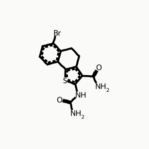 NC(=O)Nc1sc2c(c1C(N)=O)CCc1c(Br)cccc1-2